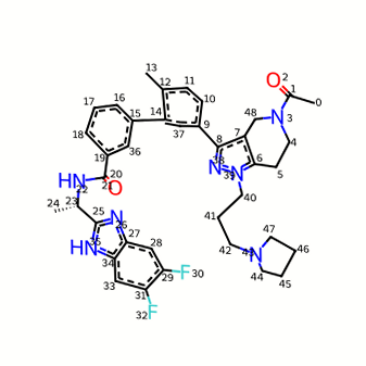 CC(=O)N1CCc2c(c(-c3ccc(C)c(-c4cccc(C(=O)N[C@@H](C)c5nc6cc(F)c(F)cc6[nH]5)c4)c3)nn2CCCN2CCCC2)C1